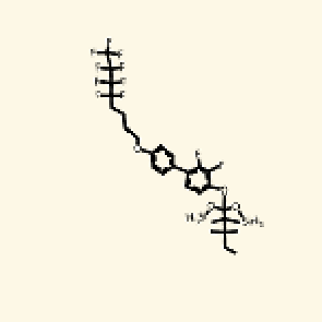 CCC(C)(C)C(C)(C)C(O[SiH3])(O[SiH3])Oc1ccc(-c2ccc(OCCCCC(F)(F)C(F)(F)C(F)(F)C(F)(F)F)cc2)c(F)c1F